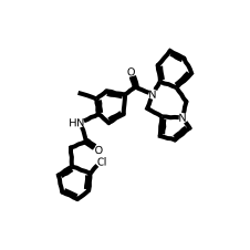 Cc1cc(C(=O)N2Cc3cccn3Cc3ccccc32)ccc1NC(=O)Cc1ccccc1Cl